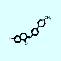 CN1CCN(c2ccc(/C=C3\CCc4cc(F)ccc4C3=O)cc2)CC1